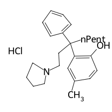 CCCCCC(CCN1CCCC1)(c1ccccc1)c1cc(C)ccc1O.Cl